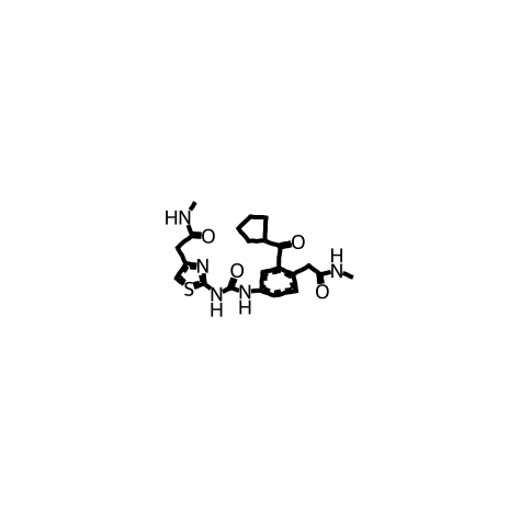 CNC(=O)Cc1csc(NC(=O)Nc2ccc(CC(=O)NC)c(C(=O)C3CCCC3)c2)n1